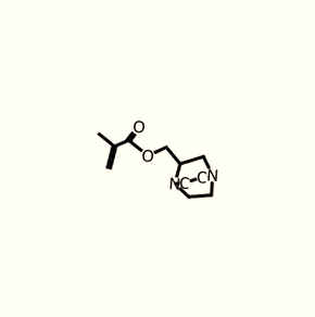 C=C(C)C(=O)OCC1CN2CCN1CC2